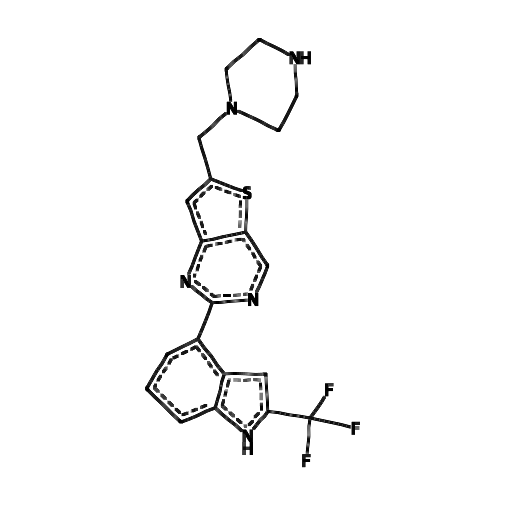 FC(F)(F)c1cc2c(-c3ncc4sc(CN5CCNCC5)cc4n3)cccc2[nH]1